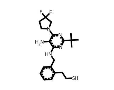 CC(C)(C)c1nc(NCc2ccccc2CCS)c(N)c(N2CCC(F)(F)C2)n1